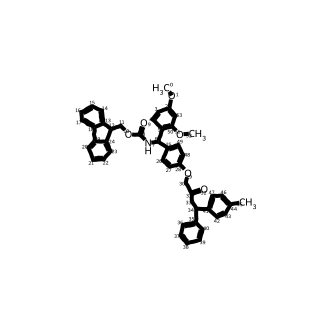 COc1ccc(C(NC(=O)OCC2c3ccccc3-c3ccccc32)c2ccc(OCC(=O)CC(c3ccccc3)c3ccc(C)cc3)cc2)c(OC)c1